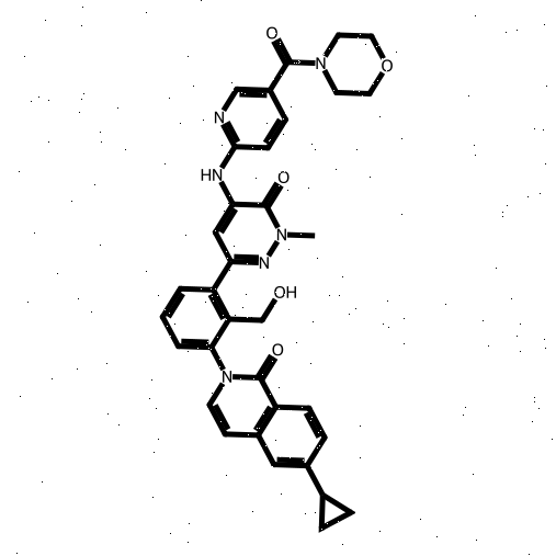 Cn1nc(-c2cccc(-n3ccc4cc(C5CC5)ccc4c3=O)c2CO)cc(Nc2ccc(C(=O)N3CCOCC3)cn2)c1=O